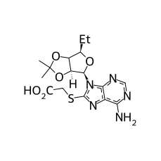 CC[C@H]1O[C@@H](n2c(SCC(=O)O)nc3c(N)ncnc32)[C@H]2OC(C)(C)OC12